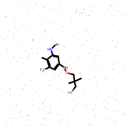 Cc1c(NC(C)C)cc(BOCC(C)(C)CS)cc1C(F)(F)F